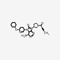 CC#CC(=O)N1CCC(n2c(=O)n(-c3ccc(Oc4ccccc4)nc3)c3c(N)ncnc32)C1